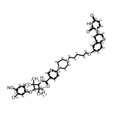 CC1(C)C(NC(=O)c2ccc(N3CCN(CCCCCOc4ccc5ncc(-n6ccc(=O)[nH]c6=O)cc5c4)CC3)nc2)C(C)(C)C1Oc1ccc(C#N)c(Cl)c1